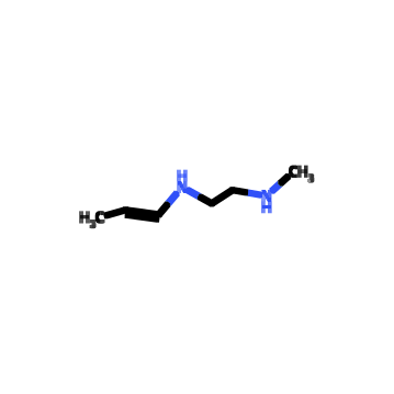 C/C=C/NCCNC